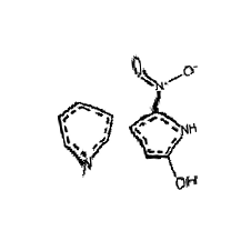 O=[N+]([O-])c1ccc(O)[nH]1.c1ccncc1